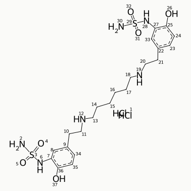 Cl.Cl.NS(=O)(=O)Nc1cc(CCNCCCCCCNCCc2ccc(O)c(NS(N)(=O)=O)c2)ccc1O